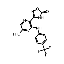 Cc1cnc(-c2noc(=O)[nH]2)c(Nc2ccc(C(F)(F)F)cc2)n1